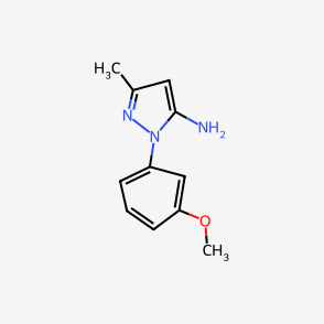 COc1cccc(-n2nc(C)cc2N)c1